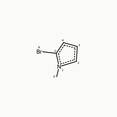 Cn1cccc1Br